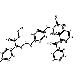 CCCC(=O)N(CCOc1ccc(C[C@H](Nc2ccccc2C(=O)c2ccccc2)C(=O)O)cc1)c1ccc(C)cc1